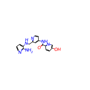 Nc1ncccc1NCc1cc(NC(=O)c2ccc(O)cn2)ccn1